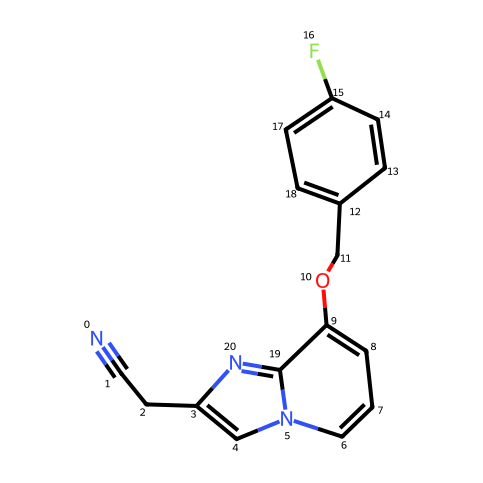 N#CCc1cn2cccc(OCc3ccc(F)cc3)c2n1